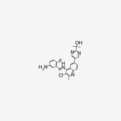 Cc1nc2ccc(-c3cnc(C(C)(C)O)nc3)cc2c(N[C@H](C)c2cc(N)ccc2F)c1Cl